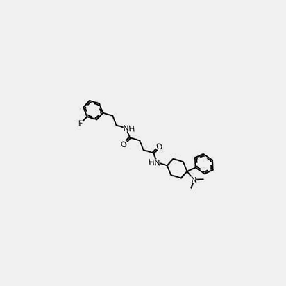 CN(C)C1(c2ccccc2)CCC(NC(=O)CCC(=O)NCCc2cccc(F)c2)CC1